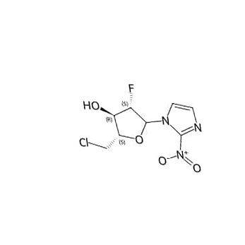 O=[N+]([O-])c1nccn1C1O[C@H](CCl)[C@@H](O)[C@@H]1F